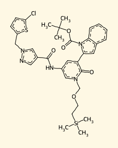 CC(C)(C)OC(=O)n1c(-c2cc(NC(=O)c3cnn(Cc4ccc(Cl)s4)c3)cn(COCC[Si](C)(C)C)c2=O)cc2ccccc21